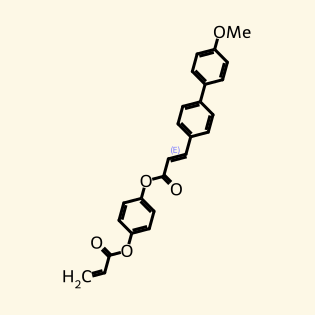 C=CC(=O)Oc1ccc(OC(=O)/C=C/c2ccc(-c3ccc(OC)cc3)cc2)cc1